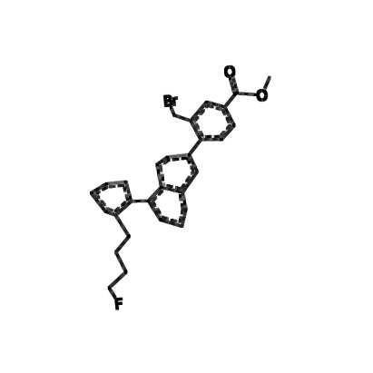 COC(=O)c1ccc(-c2ccc3c(-c4ccccc4CCCCF)cccc3c2)c(CBr)c1